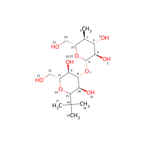 C[C@H]1[C@H](O)[C@@H](O)[C@H](O[C@H]2[C@H](O)[C@@H](CO)OC(C(C)(C)C)[C@@H]2O)O[C@@H]1CO